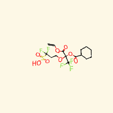 C=COC(=O)C(OCCC(F)(F)S(=O)(=O)O)(OC(=O)C1CCCCC1)C(F)(F)F